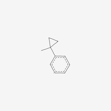 CC1(c2c[c]ccc2)CC1